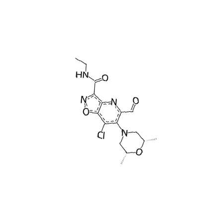 CCNC(=O)c1noc2c(Cl)c(N3C[C@@H](C)O[C@@H](C)C3)c(C=O)nc12